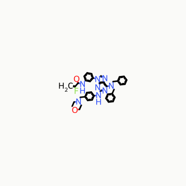 C=C(F)C(=O)Nc1cccc(-n2cnc3c(N(Cc4ccccc4)Cc4ccccc4)nc(Nc4ccc(CN5CCOCC5)cc4)nc32)c1